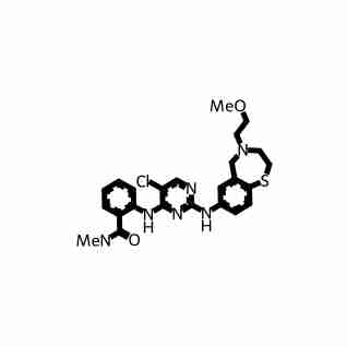 CNC(=O)c1ccccc1Nc1nc(Nc2ccc3c(c2)CN(CCOC)CCS3)ncc1Cl